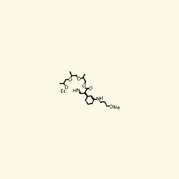 CCOC(C)COC(C)COC(C)COC(=O)/C(C=N)=C1\C=C(NCCCOC)CCC1